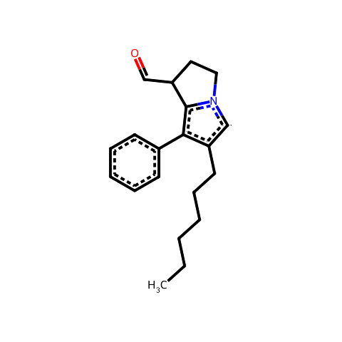 CCCCCCc1[c]n2c(c1-c1ccccc1)C(C=O)CC2